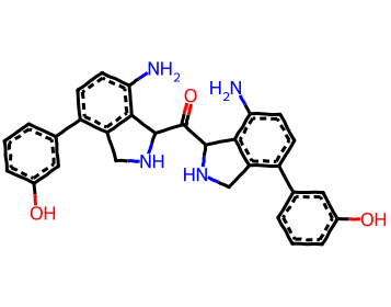 Nc1ccc(-c2cccc(O)c2)c2c1C(C(=O)C1NCc3c(-c4cccc(O)c4)ccc(N)c31)NC2